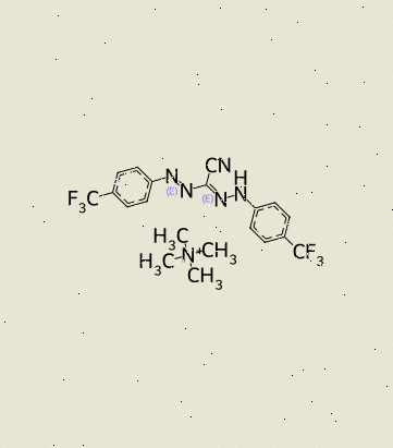 C[N+](C)(C)C.N#CC(/N=N/c1ccc(C(F)(F)F)cc1)=N\Nc1ccc(C(F)(F)F)cc1